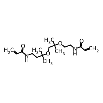 C=CC(=O)NCCOC(C)(C)COC(C)(C)CCNC(=O)C=C